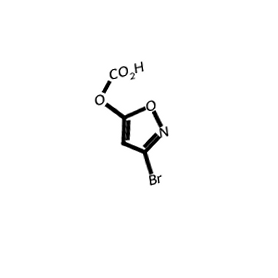 O=C(O)Oc1cc(Br)no1